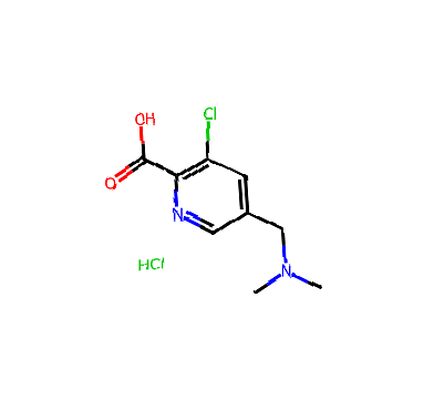 CN(C)Cc1cnc(C(=O)O)c(Cl)c1.Cl